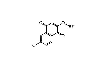 CCCOC1=CC(=O)c2cc(Cl)ccc2C1=O